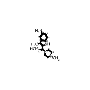 Cc1c(C(=O)N2CCN(C)CC2)[nH]c2ccc(N)cc12.Cl